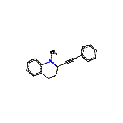 CN1c2ccccc2CCC1C#Cc1ccccc1